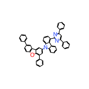 c1ccc(-c2ccc3oc4c(-c5ccccc5)cc(-n5c6ccccc6c6c(-c7nc(-c8ccccc8)cc(-c8ccccc8)n7)cccc65)cc4c3c2)cc1